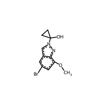 COc1cc(Br)cc2cn(C3(O)CC3)nc12